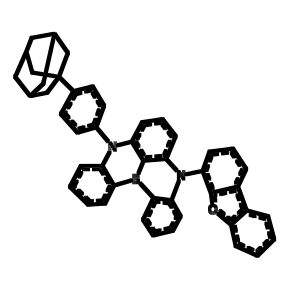 c1ccc2c(c1)B1c3ccccc3N(c3cccc4c3oc3ccccc34)c3cccc(c31)N2c1ccc(C23CC4CC(CC(C4)C2)C3)cc1